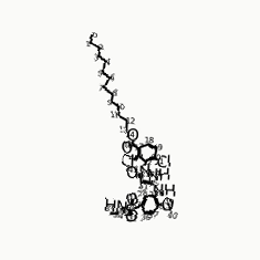 CCCCCCCCCCCCCCOC(=O)c1ccc(Cl)c(-n2[nH]c(Nc3cc(S(=O)(=O)NCC)ccc3OC)cc2=O)c1Cl